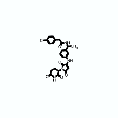 CC(NC(=O)Cc1ccc(Cl)cc1)c1cccc(NC2=CC(=O)N(C3CCC(=O)NC3=O)C2=O)c1